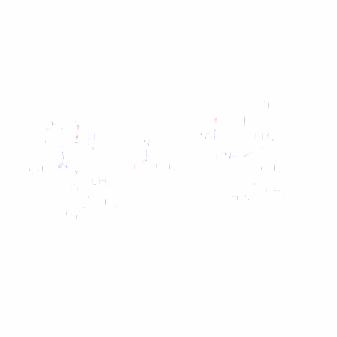 CCC(C)[C@H](NC(=O)OC(C)(C)C)C(=O)NCCCN(CCCNC(=O)[C@@H](NC(=O)OC(C)(C)C)C(C)CC)C(C)=O